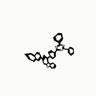 c1ccc(-c2nc(-c3ccccc3)nc(-c3ccc(-c4cc(-c5ccc6ccccc6c5)cc5oc6ccccc6c45)cc3)n2)cc1